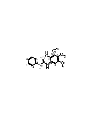 COc1cc(NC(=O)Nc2ccccc2)c(O)c(OC)c1OC